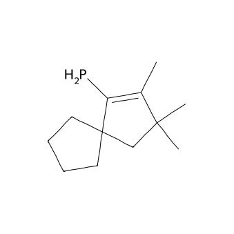 CC1=C(P)C2(CCCC2)CC1(C)C